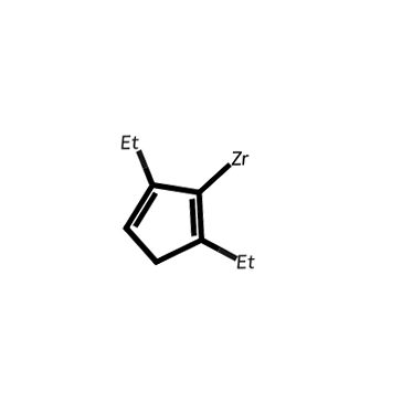 CCC1=CCC(CC)=[C]1[Zr]